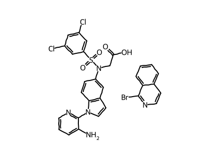 Brc1nccc2ccccc12.Nc1cccnc1-n1ccc2cc(N(CC(=O)O)S(=O)(=O)c3cc(Cl)cc(Cl)c3)ccc21